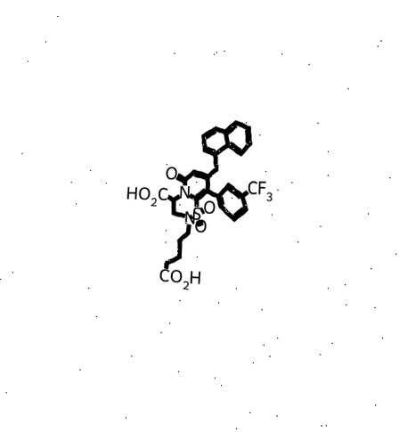 O=C(O)CCCCN1CC(C(=O)O)n2c(c(-c3cccc(C(F)(F)F)c3)c(Cc3cccc4ccccc34)cc2=O)S1(=O)=O